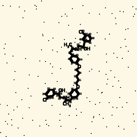 C[C@H](Cc1ccc(OCCCCCOc2ccc(C[C@@H](C)NC[C@H](O)c3cccc(Cl)c3)cc2)cc1)NC[C@H](O)c1cccc(Cl)c1